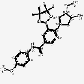 CC1(C)OB(c2cc(C(=O)Nc3ccc(OC(F)(F)F)cc3)cnc2N2C[C@H](CO)[C@@H](O)C2)OC1(C)C